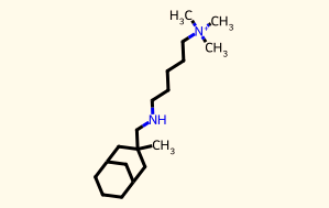 CC1(CNCCCCC[N+](C)(C)C)CC2CCCC(C2)C1